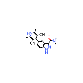 CC1=C(C#N)C(c2ccc3[nH]nc(C(=O)N(C)C)c3c2)C(C#N)=C(C)N1